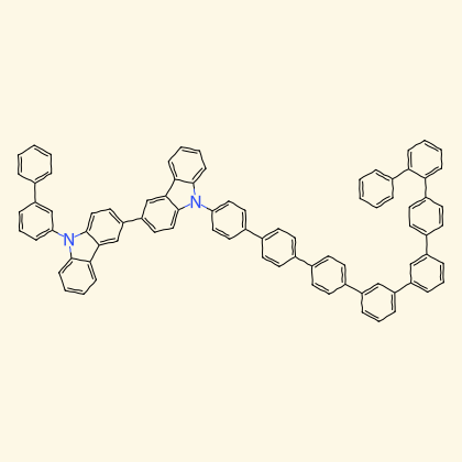 c1ccc(-c2cccc(-n3c4ccccc4c4cc(-c5ccc6c(c5)c5ccccc5n6-c5ccc(-c6ccc(-c7ccc(-c8cccc(-c9cccc(-c%10ccc(-c%11ccccc%11-c%11ccccc%11)cc%10)c9)c8)cc7)cc6)cc5)ccc43)c2)cc1